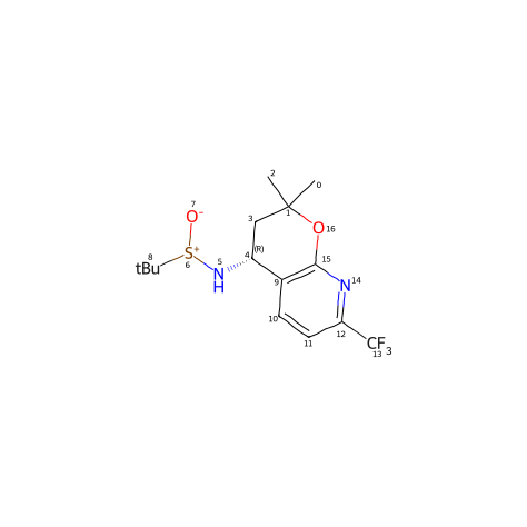 CC1(C)C[C@@H](N[S+]([O-])C(C)(C)C)c2ccc(C(F)(F)F)nc2O1